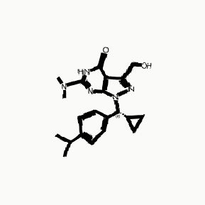 CC(C)c1ccc([C@@H](C2CC2)n2nc(CO)c3c(=O)[nH]c(N(C)C)nc32)cc1